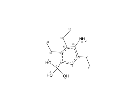 CCc1cc(C(O)(O)O)c(CC)c(CC)c1N